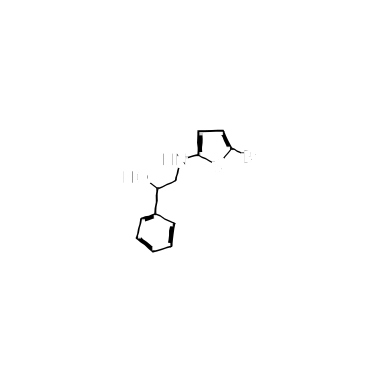 OC(CNc1ccc(Br)s1)c1ccccc1